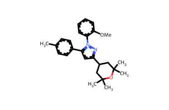 COc1ccccc1-n1nc(C2CC(C)(C)OC(C)(C)C2)cc1-c1ccc(C)cc1